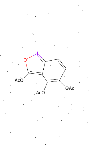 CC(=O)OC1=c2c(OC(C)=O)c(OC(C)=O)ccc2=IO1